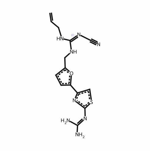 C=CCN/C(=N/C#N)NCc1ccc(-c2csc(N=C(N)N)n2)o1